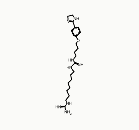 N=C(N)NCCCCCCCCNC(=N)NCCCCOc1ccc(C2=NCCN2)cc1